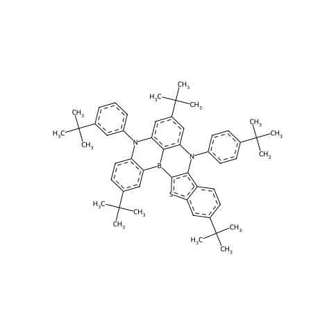 CC(C)(C)c1ccc(N2c3cc(C(C)(C)C)cc4c3B(c3cc(C(C)(C)C)ccc3N4c3cccc(C(C)(C)C)c3)c3sc4cc(C(C)(C)C)ccc4c32)cc1